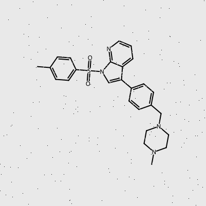 Cc1ccc(S(=O)(=O)n2cc(-c3ccc(CN4CCN(C)CC4)cc3)c3cccnc32)cc1